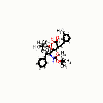 Cc1cccc(CC(CC(O[Si](C)(C)C(C)(C)C)C(Cc2ccccc2)NC(=O)OC(C)(C)C)C(=O)O)c1